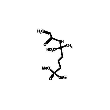 C=CC(=O)NC(C)(CCCP(=O)(OC)OC)C(=O)O